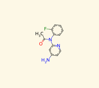 CC(=O)N(c1cc(N)ccn1)c1ccccc1F